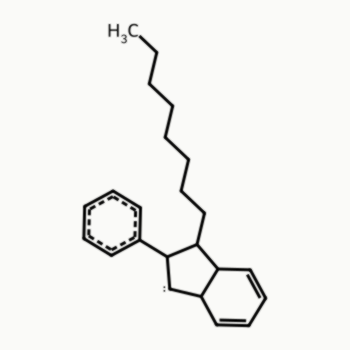 CCCCCCCCC1C(c2ccccc2)[C]C2C=CC=CC21